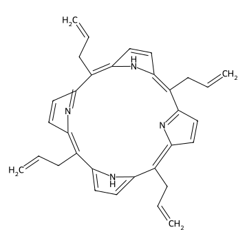 C=CCc1c2nc(c(CC=C)c3ccc([nH]3)c(CC=C)c3nc(c(CC=C)c4ccc1[nH]4)C=C3)C=C2